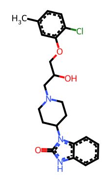 Cc1ccc(Cl)c(OCC(O)CN2CCC(n3c(=O)[nH]c4ccccc43)CC2)c1